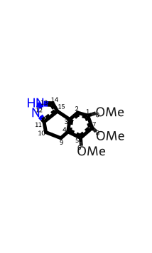 COc1cc2c(c(OC)c1OC)CCc1n[nH]cc1-2